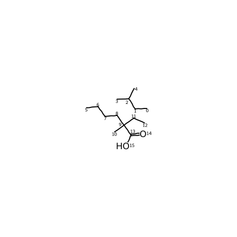 CCC(C)C.CCCCC(C)(CC)C(=O)O